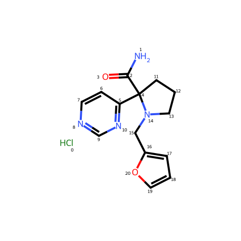 Cl.NC(=O)C1(c2ccncn2)CCCN1Cc1ccco1